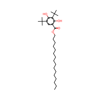 CCCCCCCCCCCCCCCCOC(=O)c1cc(C(C)(C)C)c(O)c(C(C)(C)C)c1O